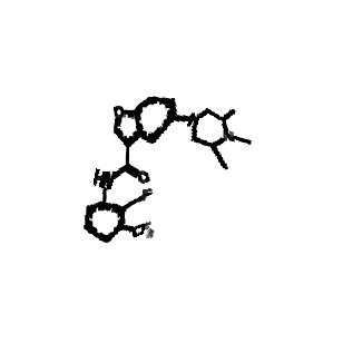 CC1CN(c2ccc3occ(C(=O)Nc4cccc(C(F)(F)F)c4F)c3c2)CC(C)N1C